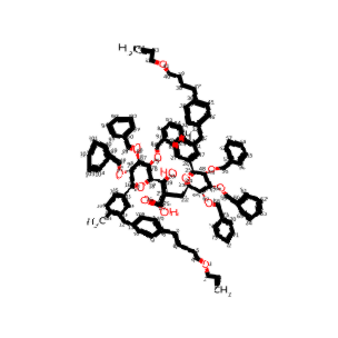 C=CCOCCCCc1ccc(Cc2cc([C@@H]3O[C@H](C(O)C([CH][C@H]4O[C@@H](c5ccc(C)c(Cc6ccc(CCCCOCC=C)cc6)c5)[C@H](OCc5ccccc5)[C@H](OCc5ccccc5)[C@@H]4OCc4ccccc4)C(=O)O)[C@H](OCc4ccccc4)[C@H](OCc4ccccc4)[C@H]3OCc3ccccc3)ccc2C)cc1